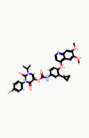 COc1cc2nccc(Oc3ccc(NC(=O)Oc4cn(C(C)C)c(=O)n(-c5ccc(F)cc5)c4=O)cc3C3CC3)c2cc1OC